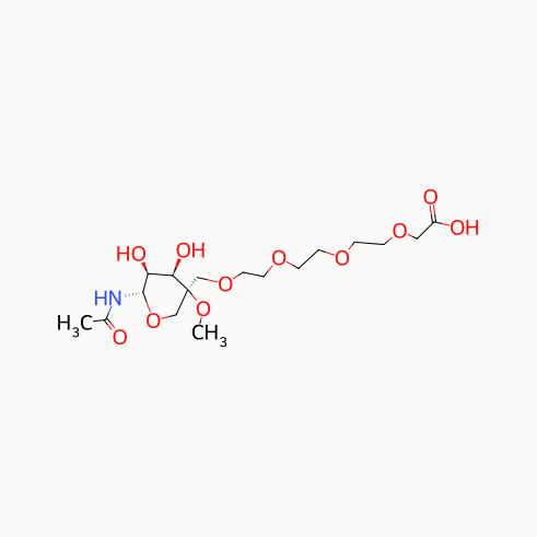 CO[C@@]1(COCCOCCOCCOCC(=O)O)CO[C@H](NC(C)=O)[C@@H](O)[C@H]1O